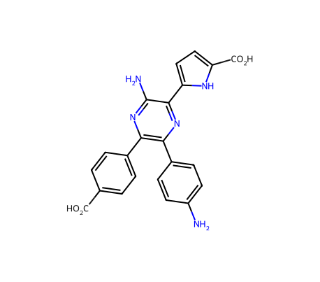 Nc1ccc(-c2nc(-c3ccc(C(=O)O)[nH]3)c(N)nc2-c2ccc(C(=O)O)cc2)cc1